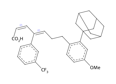 COc1ccc(CC/C=C(/C=C\C(=O)O)c2cccc(C(F)(F)F)c2)c(C23CC4CC(CC(C4)C2)C3)c1